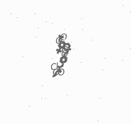 CCOC(=O)C(Cl)Cc1ccc(OCC2(C)CCc3cc(OC(C)=O)cc(C(C)(C)C)c3O2)cc1